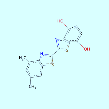 Cc1cc(C)c2nc(-c3nc4c(O)ccc(O)c4s3)sc2c1